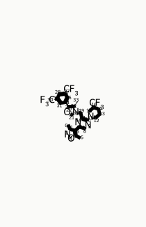 Cc1noc(C)c1-c1cnc(N2CCCC(C(F)(F)F)C2)c(CN2CO[C@@H](c3cc(C(F)(F)F)cc(C(F)(F)F)c3)[C@@H]2C)n1